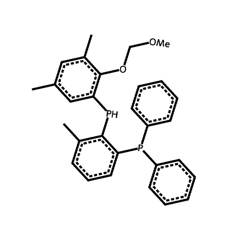 COCOc1c(C)cc(C)cc1Pc1c(C)cccc1P(c1ccccc1)c1ccccc1